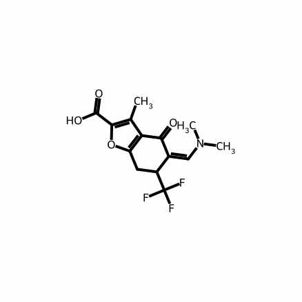 Cc1c(C(=O)O)oc2c1C(=O)/C(=C\N(C)C)C(C(F)(F)F)C2